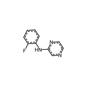 Fc1ccccc1Nc1cnccn1